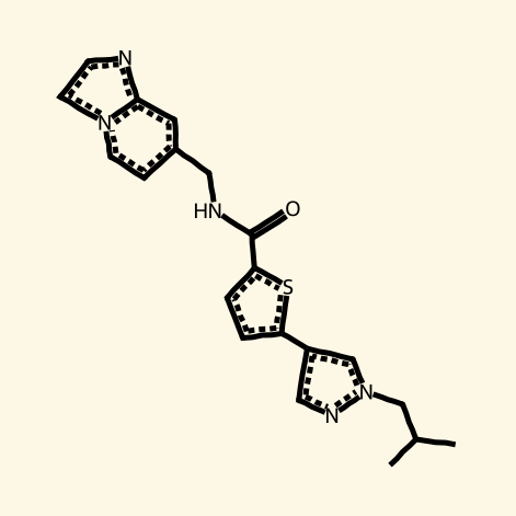 CC(C)Cn1cc(-c2ccc(C(=O)NCc3ccn4ccnc4c3)s2)cn1